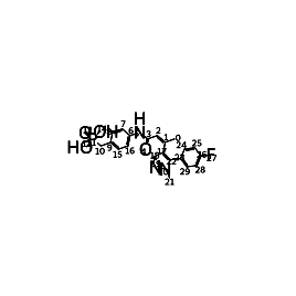 CC(=CC(=O)Nc1ccc(CP(=O)(O)O)cc1)c1cnn(C)c1-c1ccc(F)cc1